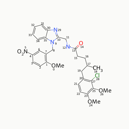 COc1ccc([N+](=O)[O-])cc1Cn1c(C[N]C(=O)CCC(C)Cc2ccc(OC)c(OC)c2Cl)nc2ccccc21